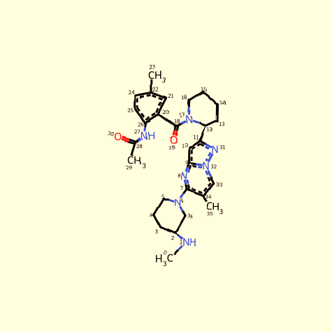 CN[C@H]1CCCN(c2nc3cc([C@@H]4CCCCN4C(=O)c4cc(C)ccc4NC(C)=O)nn3cc2C)C1